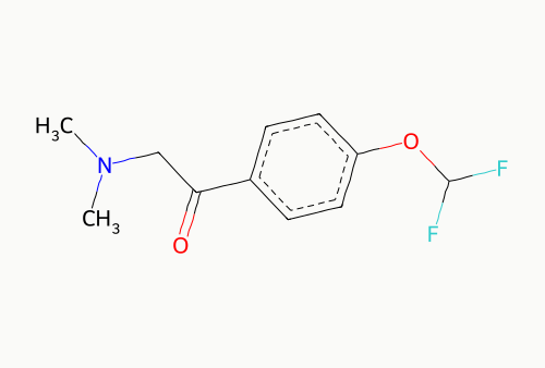 CN(C)CC(=O)c1ccc(OC(F)F)cc1